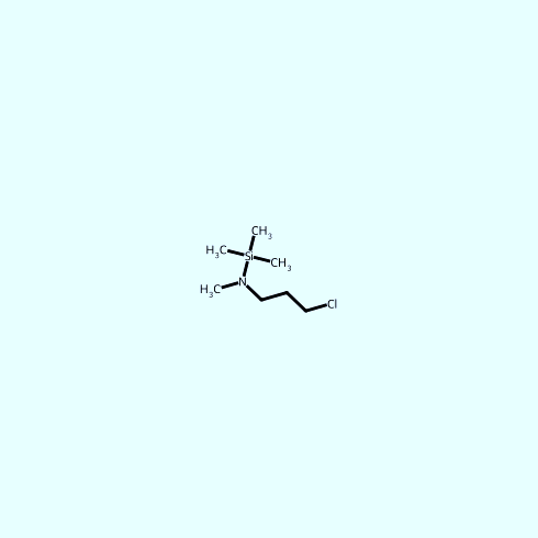 CN(CCCCl)[Si](C)(C)C